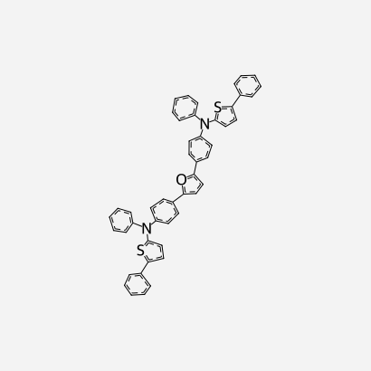 c1ccc(-c2ccc(N(c3ccccc3)c3ccc(-c4ccc(-c5ccc(N(c6ccccc6)c6ccc(-c7ccccc7)s6)cc5)o4)cc3)s2)cc1